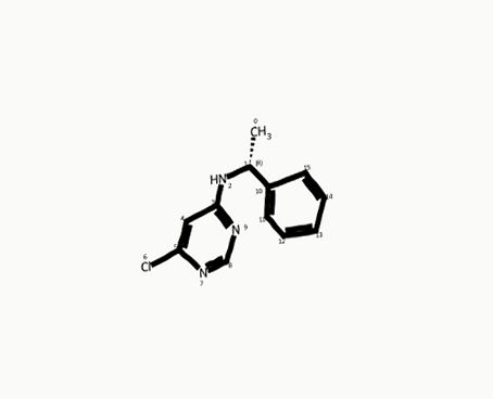 C[C@@H](Nc1cc(Cl)ncn1)c1ccccc1